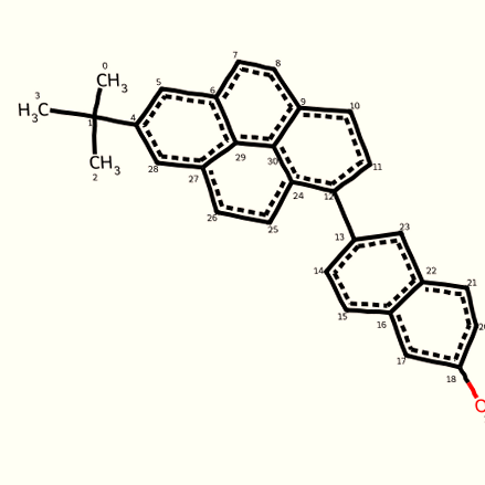 CC(C)(C)c1cc2ccc3ccc(-c4ccc5cc(O)ccc5c4)c4ccc(c1)c2c34